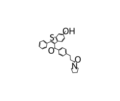 O=C(c1ccc(CCC(=O)N2CCCC2)cc1)c1c(-c2ccccc2)sc2cc(O)ccc12